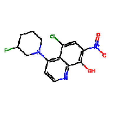 O=[N+]([O-])c1cc(Cl)c2c(N3CCCC(F)C3)ccnc2c1O